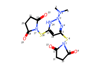 CN(C)N1N=C(SN2C(=O)CCC2=O)C=C(SN2C(=O)CCC2=O)N1